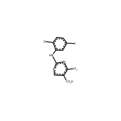 O=C(O)c1cnc(Nc2cc(F)ccc2Cl)nc1C(F)(F)F